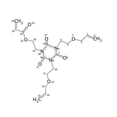 C=CCOCCn1c(=O)n(CCOCC=C)c(=O)n(CCOC(=O)C=C)c1=O